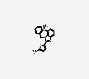 CCCCOc1cccc2nc(-c3ccc([N+](=O)[O-])o3)n(Cc3ccccc3)c12